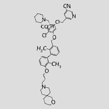 Cc1c(COc2cc(OCc3cncc(C#N)c3)c(CN3CCCC[C@H]3C(=O)O)cc2Cl)cccc1-c1cccc(OCCCN2CCC3(CCCOC3)CC2)c1C